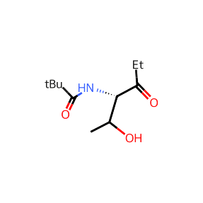 CCC(=O)[C@@H](NC(=O)C(C)(C)C)C(C)O